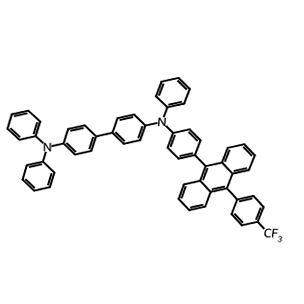 FC(F)(F)c1ccc(-c2c3ccccc3c(-c3ccc(N(c4ccccc4)c4ccc(-c5ccc(N(c6ccccc6)c6ccccc6)cc5)cc4)cc3)c3ccccc23)cc1